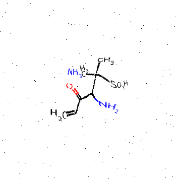 C=CC(=O)C(N)C(C)(C)S(=O)(=O)O.N